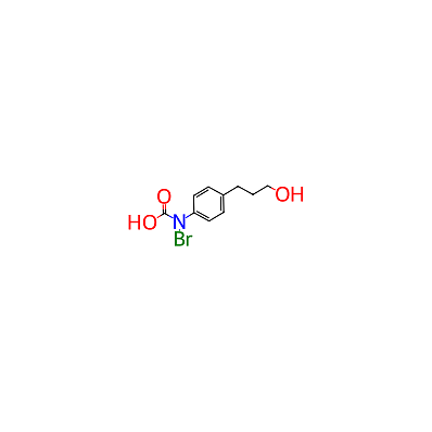 O=C(O)N(Br)c1ccc(CCCO)cc1